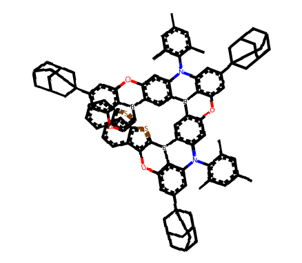 Cc1cc(C)c(N2c3cc4c(cc3B3c5cc6c(cc5Oc5cc(C78CC9CC(CC(C9)C7)C8)cc2c53)N(c2c(C)cc(C)cc2C)c2cc(C35CC7CC(CC(C7)C3)C5)cc3c2B6c2sc5ccccc5c2O3)B2c3sc5ccccc5c3Oc3cc(C56CC7CC(CC(C7)C5)C6)cc(c32)O4)c(C)c1